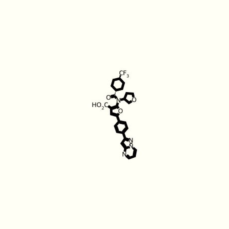 O=C(O)c1cc(-c2ccc(-c3cc4ncccn4n3)cc2)oc1N(C(=O)[C@H]1CC[C@H](C(F)(F)F)CC1)C1CCOC1